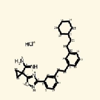 Cl.N=C(N)C1(c2nc(-c3cccc(CCc4cccc(CCC5CCCCC5)c4)c3)no2)CC1